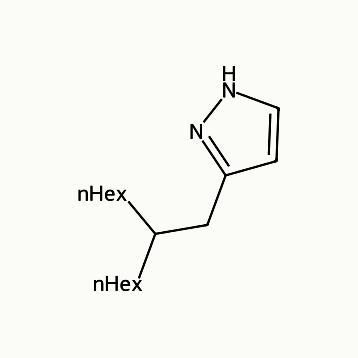 CCCCCCC(CCCCCC)Cc1cc[nH]n1